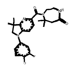 CC1(C)CN(c2ccc(Cl)c(F)c2)c2ccc(C(=O)N3CCNC(=O)CC3(C)C)nc21